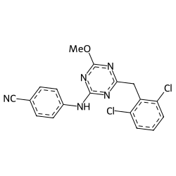 COc1nc(Cc2c(Cl)cccc2Cl)nc(Nc2ccc(C#N)cc2)n1